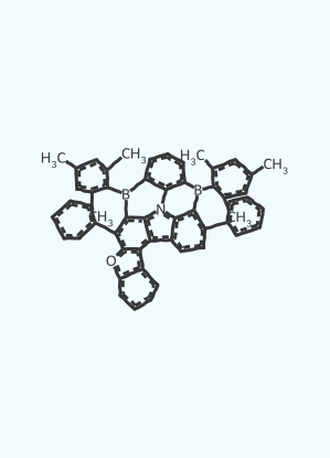 Cc1cc(C)c(B2c3cccc4c3-n3c5c2c(-c2ccccc2)ccc5c2c5c(oc6ccccc65)c(-c5ccccc5)c(c23)B4c2c(C)cc(C)cc2C)c(C)c1